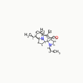 C=C/C(C)=C1\CCC(C2CCCN2/C=C\C)N1/C(C)=C(\C=C=O)CC